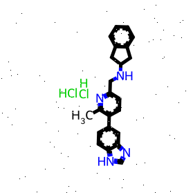 Cc1nc(CNC2Cc3ccccc3C2)ccc1-c1ccc2[nH]cnc2c1.Cl.Cl